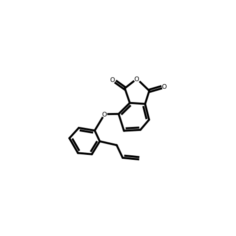 C=CCc1ccccc1Oc1cccc2c1C(=O)OC2=O